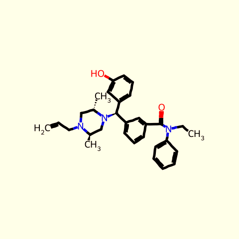 C=CCN1C[C@H](C)N([C@@H](c2cccc(O)c2)c2cccc(C(=O)N(CC)c3ccccc3)c2)C[C@H]1C